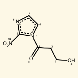 O=C(CCO)n1ccnc1[N+](=O)[O-]